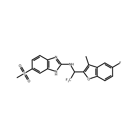 Cc1c(C(Nc2nc3ccc(S(C)(=O)=O)cc3[nH]2)C(F)(F)F)oc2ccc(F)cc12